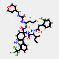 CCC(C)[C@H](NC(=O)Cc1ccccc1F)C(=O)NC1(C(=O)N[C@H](NC(=O)NCC2CCOCC2)[C@H](C)CC)CCc2[nH]c3c(C(F)(F)F)cccc3c2C1